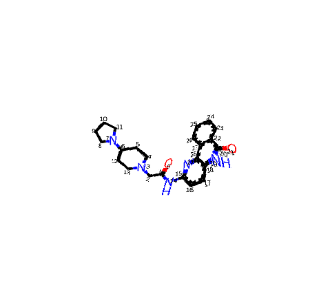 O=C(CN1CCC(N2CCCC2)CC1)Nc1ccc2[nH]c(=O)c3ccccc3c2n1